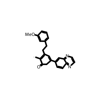 [CH2]C1=C(CCc2cccc(OC)c2)C=C(c2ccc3nccnc3c2)CC1=O